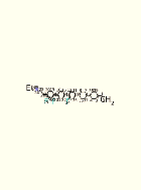 C=CC1CCC(C2CCC(c3ccc(-c4ccc(-c5ccc(CC/C=C/CC)c(F)c5F)cc4)c(F)c3)CC2)CC1